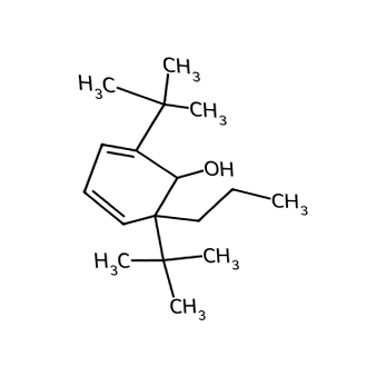 CCCC1(C(C)(C)C)C=CC=C(C(C)(C)C)C1O